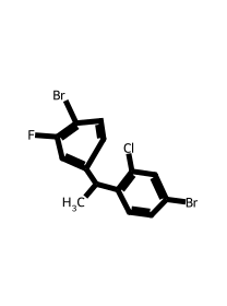 C[C](c1ccc(Br)c(F)c1)c1ccc(Br)cc1Cl